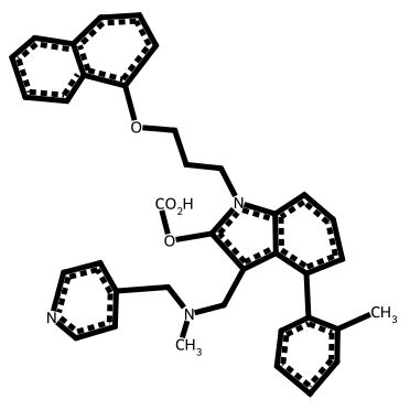 Cc1ccccc1-c1cccc2c1c(CN(C)Cc1ccncc1)c(OC(=O)O)n2CCCOc1cccc2ccccc12